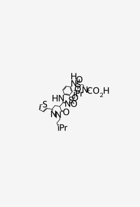 CC(C)CCN1N=C(c2cccs2)CC(C2=NS(=O)(=O)c3cc(NS(=O)(=O)CN(C(=O)O)C(C)C)ccc3N2)C1=O